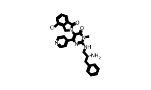 Cn1c(NC[C@H](N)Cc2ccccc2)nc(-c2ccncc2)c(N2Cc3c(Cl)cccc3C2=O)c1=O